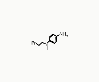 CC(C)CCNc1ccc(N)cc1